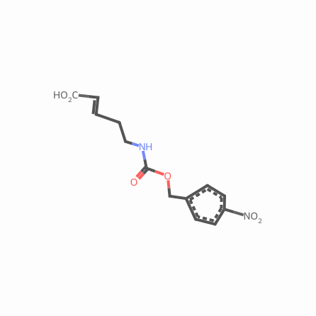 O=C(O)C=CCCNC(=O)OCc1ccc([N+](=O)[O-])cc1